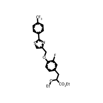 CCOC(=O)C(Cc1ccc(OCc2csc(-c3ccc(C(F)(F)F)cc3)n2)c(F)c1)OCC